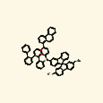 CC(C)(C)c1ccc2c(c1)C1(c3ccccc3-c3cc(N(c4ccc(-c5cccc6c5ccc5ccccc56)cc4)c4ccccc4-c4ccccc4-c4ccccc4-c4ccccc4)ccc31)c1cc(C(C)(C)C)ccc1-2